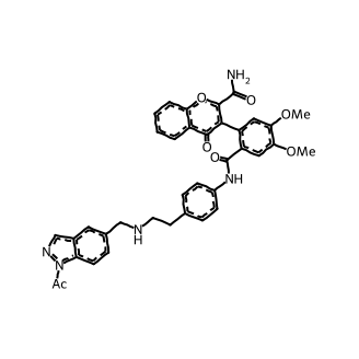 COc1cc(C(=O)Nc2ccc(CCNCc3ccc4c(cnn4C(C)=O)c3)cc2)c(-c2c(C(N)=O)oc3ccccc3c2=O)cc1OC